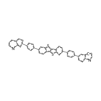 c1cnc2ccc(-c3ccc(-c4ccc5c(c4)sc4c6ccc(-c7ccc(-c8ccc9cccnc9c8)cc7)cc6sc54)cc3)cc2c1